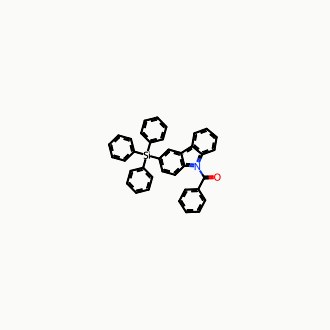 O=C(c1ccccc1)n1c2ccccc2c2cc([Si](c3ccccc3)(c3ccccc3)c3ccccc3)ccc21